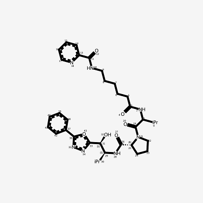 CC(C)C(NC(=O)CCCCCNC(=O)c1ccccn1)C(=O)N1CCC[C@@H]1C(=O)N[C@@H](C(C)C)[C@H](O)c1nnc(-c2ccccc2)o1